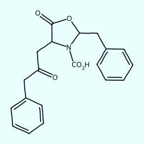 O=C(Cc1ccccc1)CC1C(=O)OC(Cc2ccccc2)N1C(=O)O